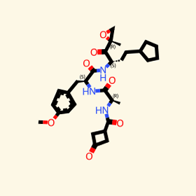 COc1ccc(C[C@H](NC(=O)[C@@H](C)NC(=O)C2CC(=O)C2)C(=O)N[C@@H](CCC2CCCC2)C(=O)[C@@]2(C)CO2)cc1